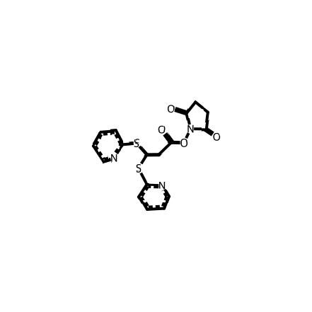 O=C(CC(Sc1ccccn1)Sc1ccccn1)ON1C(=O)CCC1=O